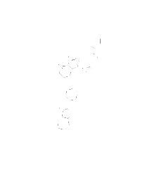 C=CC(=O)N1CCC[C@@H](Nc2n[nH]c3nccc(Oc4ccc(-c5nc6ccccc6s5)cc4)c23)C1